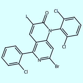 O=c1c(I)cc2c(-c3ccccc3Cl)nc(Br)cc2n1-c1c(Cl)cccc1Cl